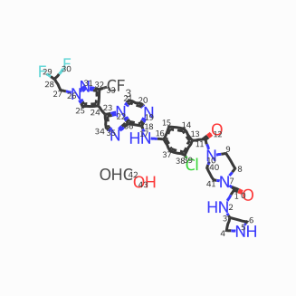 O=C(NC1CNC1)N1CCN(C(=O)c2ccc(Nc3nccn4c(-c5cn(CC(F)F)nc5C(F)(F)F)cnc34)cc2Cl)CC1.O=CO